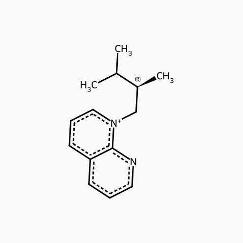 CC(C)[C@@H](C)C[n+]1cccc2cccnc21